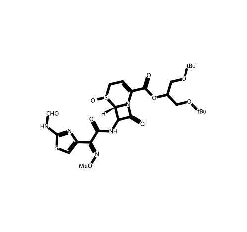 CON=C(C(=O)NC1C(=O)N2C(C(=O)OC(COC(C)(C)C)COC(C)(C)C)=CC[S+]([O-])[C@@H]12)c1csc(NC=O)n1